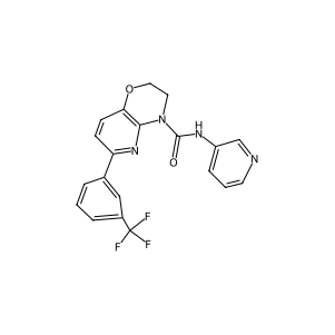 O=C(Nc1cccnc1)N1CCOc2ccc(-c3cccc(C(F)(F)F)c3)nc21